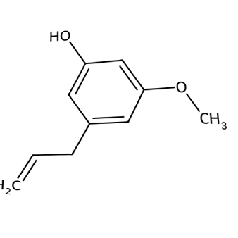 C=CCc1cc(O)cc(OC)c1